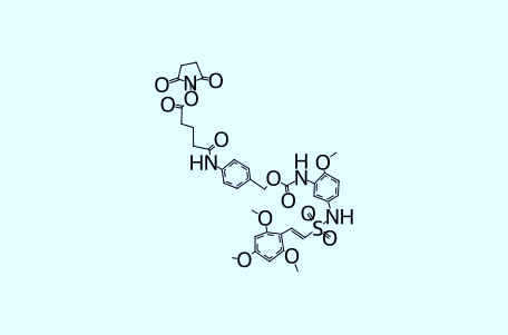 COc1cc(OC)c(/C=C/S(=O)(=O)Nc2ccc(OC)c(NC(=O)OCc3ccc(NC(=O)CCCC(=O)ON4C(=O)CCC4=O)cc3)c2)c(OC)c1